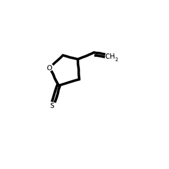 C=CC1COC(=S)C1